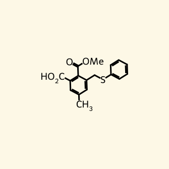 COC(=O)c1c(CSc2ccccc2)cc(C)cc1C(=O)O